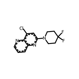 FC1(F)CCN(c2cc(Cl)c3ncccc3n2)CC1